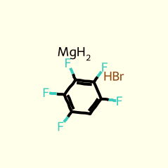 Br.Fc1cc(F)c(F)c(F)c1F.[MgH2]